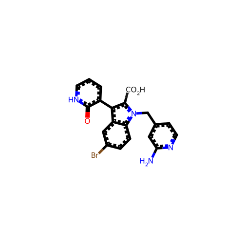 Nc1cc(Cn2c(C(=O)O)c(-c3ccc[nH]c3=O)c3cc(Br)ccc32)ccn1